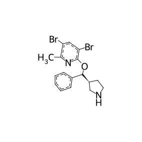 Cc1nc(OC(c2ccccc2)[C@H]2CCNC2)c(Br)cc1Br